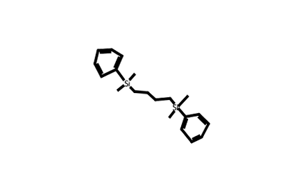 C[Si](C)(CCCC[Si](C)(C)c1ccccc1)c1ccccc1